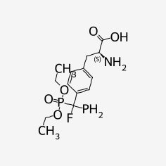 CCOP(=O)(OCC)C(F)(P)c1ccc(C[C@H](N)C(=O)O)cc1